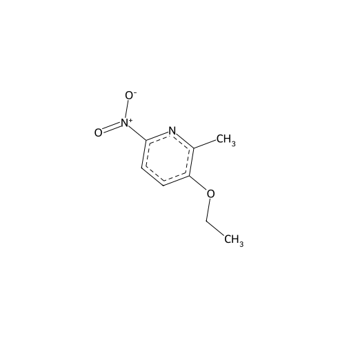 CCOc1ccc([N+](=O)[O-])nc1C